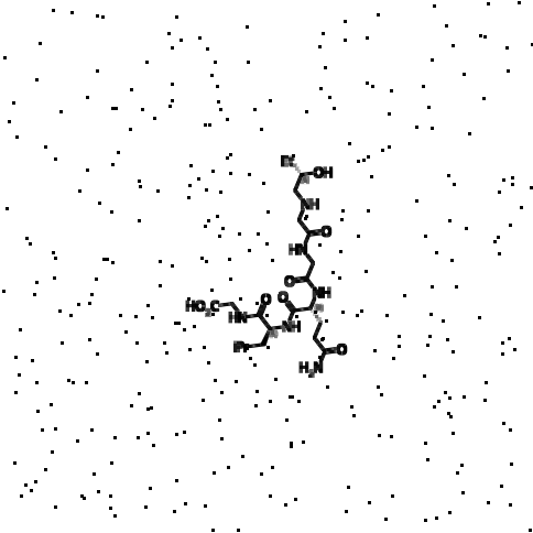 CC[C@H](O)CNCC(=O)NCC(=O)N[C@H](CCC(N)=O)C(=O)N[C@@H](CC(C)C)C(=O)NCC(=O)O